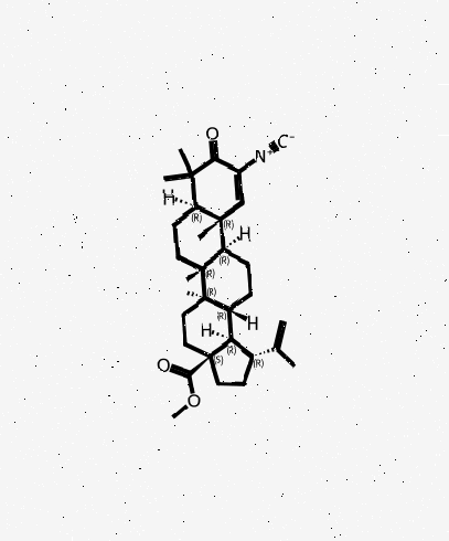 [C-]#[N+]C1=C[C@]2(C)[C@H]3CC[C@@H]4[C@H]5[C@H](C(=C)C)CC[C@]5(C(=O)OC)CC[C@@]4(C)[C@]3(C)CC[C@H]2C(C)(C)C1=O